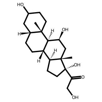 C[C@]12CCC(O)C[C@H]1CC[C@@H]1[C@@H]2[C@@H](O)C[C@@]2(C)[C@H]1CC[C@]2(O)C(=O)CO